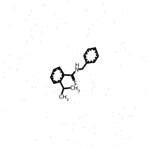 CC(C)c1ccccc1C(=S)NCc1ccccc1